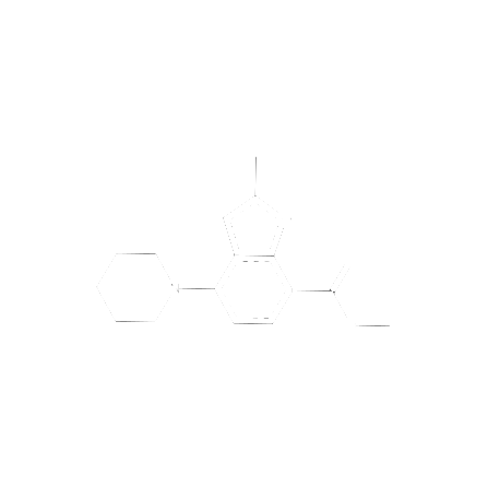 COC(=O)c1ccc(N2CCCCC2)c2cc(C)oc12